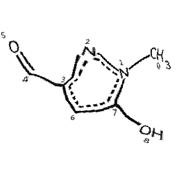 Cn1nc(C=O)cc1O